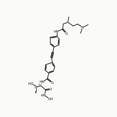 C[C@@H](O)[C@H](NC(=O)c1ccc(C#Cc2ccc(NC(=O)CN(C)CCN(C)C)cc2)cc1)C(=O)NO